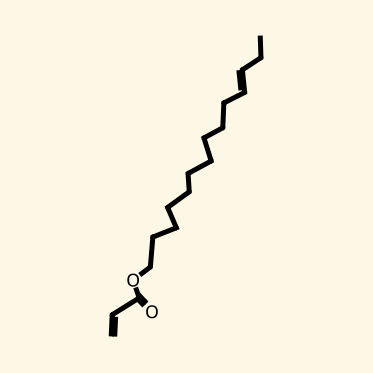 C=CC(=O)OCCCCCCCCCCC=CCC